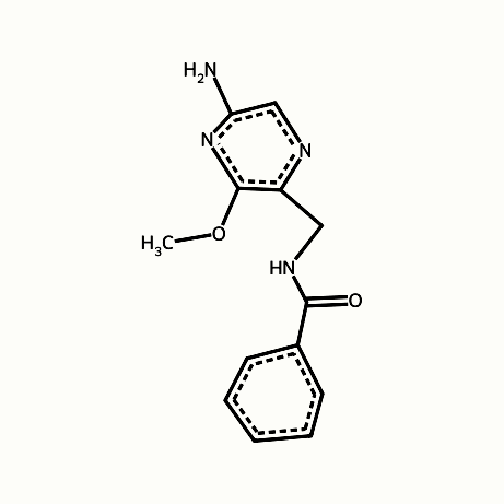 COc1nc(N)cnc1CNC(=O)c1ccccc1